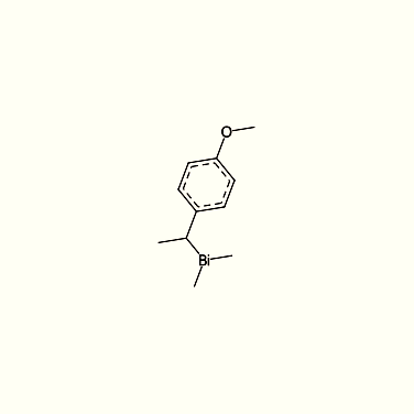 COc1ccc([CH](C)[Bi]([CH3])[CH3])cc1